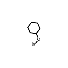 BrOC1CCCCC1